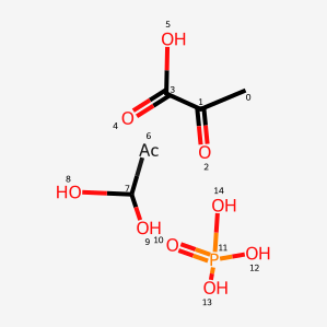 CC(=O)C(=O)O.CC(=O)C(O)O.O=P(O)(O)O